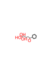 O=C(CCCC(O)(O)O)c1ccccc1